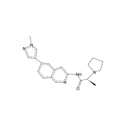 C[C@@H](C(=O)Nc1cc2cc(-c3cnn(C)c3)ccc2cn1)N1CCCC1